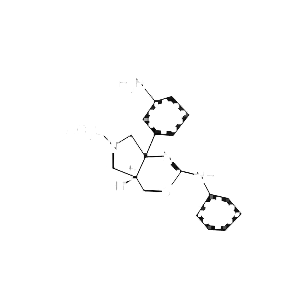 Nc1cccc(C23CN(C(=O)O)C[C@H]2CSC(Nc2ccccc2)=N3)c1